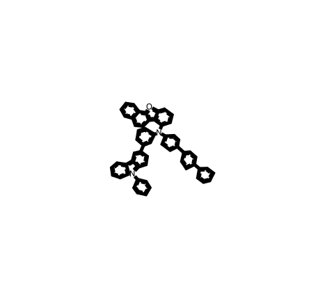 c1ccc(-c2ccc(-c3ccc(N(c4cccc(-c5ccc6c(c5)c5ccccc5n6-c5ccccc5)c4)c4cccc5oc6c7ccccc7ccc6c45)cc3)cc2)cc1